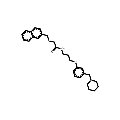 O=C(CSCc1ccc2ccccc2c1)NCCCOc1cccc(CN2CCCCC2)c1